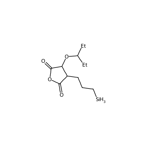 CCC(CC)OC1C(=O)OC(=O)C1CCC[SiH3]